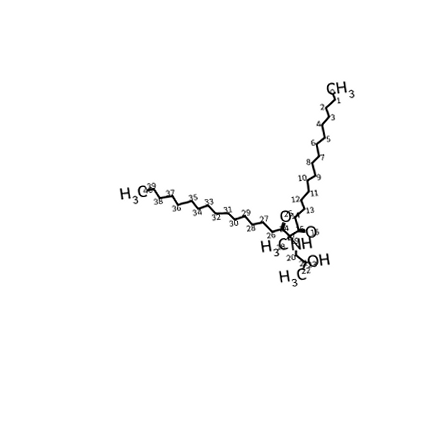 CCCCCCCCCCCCCCCC(=O)C(C)(NCC(C)O)C(=O)CCCCCCCCCCCCCCC